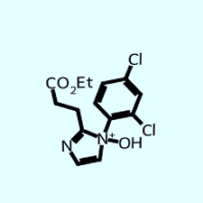 CCOC(=O)CCC1=NC=C[N+]1(O)c1ccc(Cl)cc1Cl